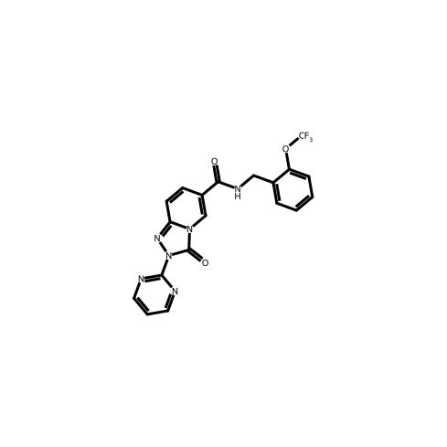 O=C(NCc1ccccc1OC(F)(F)F)c1ccc2nn(-c3ncccn3)c(=O)n2c1